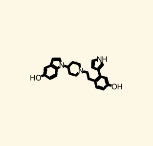 Oc1ccc(CCN2CCC(n3ccc4cc(O)ccc43)CC2)c(-c2cc[nH]c2)c1